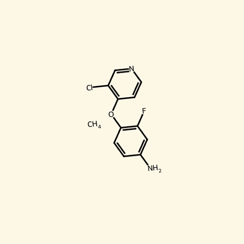 C.Nc1ccc(Oc2ccncc2Cl)c(F)c1